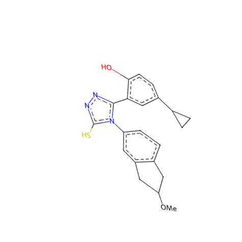 COC1Cc2ccc(-n3c(S)nnc3-c3cc(C4CC4)ccc3O)cc2C1